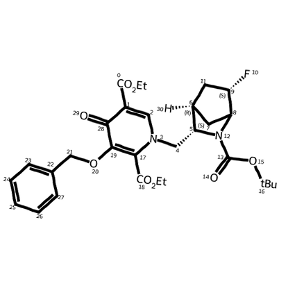 CCOC(=O)c1cn(C[C@@H]2[C@@H]3CC([C@@H](F)C3)N2C(=O)OC(C)(C)C)c(C(=O)OCC)c(OCc2ccccc2)c1=O